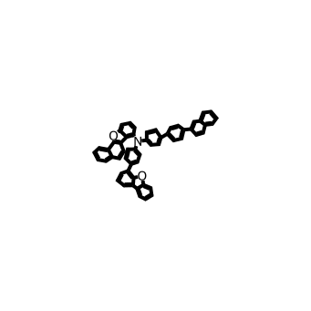 c1ccc2cc(-c3ccc(-c4ccc(N(c5ccc(-c6cccc7c6oc6ccccc67)cc5)c5cccc6oc7c8ccccc8ccc7c56)cc4)cc3)ccc2c1